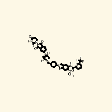 COc1cc2nn(C3CCC(CN4C[C@@H]5C[C@H]4CN5c4ccc5c(c4)C(=O)N(N4CCC(=O)NC4=O)C5=O)CC3)cc2cc1NC(=O)c1cccc(C(F)(F)F)n1